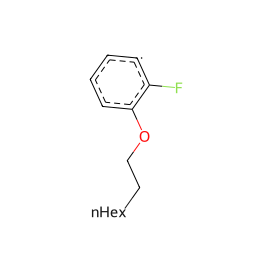 CCCCCCCCOc1ccc[c]c1F